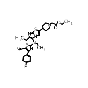 CCOC(=O)CN1CCC(c2cn3c(N(CC)c4nc(-c5ccc(F)cc5)c(C#N)s4)c(CC)nc3s2)CC1